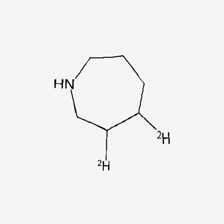 [2H]C1CCCNCC1[2H]